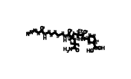 CCC(C)(CC(C)(CC(C)(C)C(N)=O)C(=O)NCCCCCNC(=O)CN=[N+]=[N-])C(=O)Nc1cccc(C(O)O)c1